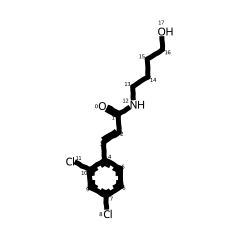 O=C(C=Cc1ccc(Cl)cc1Cl)NCCCCO